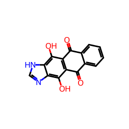 O=C1c2ccccc2C(=O)c2c1c(O)c1nc[nH]c1c2O